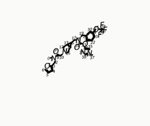 CN(Cc1ccco1)C(=O)CN1CC2C(C1)C2CN(Cc1cccc(OC(F)(F)F)c1)C(=O)Oc1cn(C)cn1